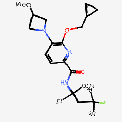 [2H]C([2H])(F)CC(CC)(NC(=O)c1ccc(N2CC(OC)C2)c(OCC2CC2)n1)C(=O)O